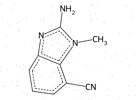 Cn1c(N)nc2cccc(C#N)c21